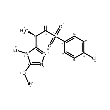 CCn1c(OC(C)C)nnc1[C@@H](C)NS(=O)(=O)c1ccc(Cl)cc1